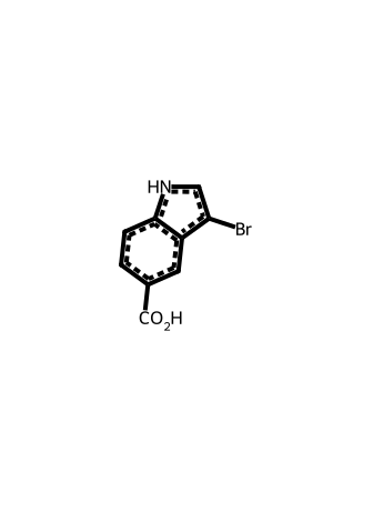 O=C(O)c1ccc2[nH]cc(Br)c2c1